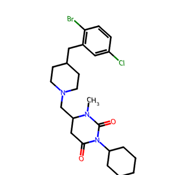 CN1C(=O)N(C2CCCCC2)C(=O)CC1CN1CCC(Cc2cc(Cl)ccc2Br)CC1